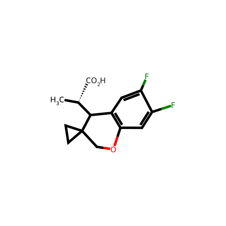 C[C@H](C(=O)O)C1c2cc(F)c(F)cc2OCC12CC2